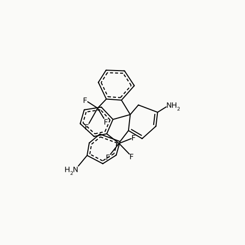 NC1=CC=C(c2ccc(N)cc2)C(c2ccccc2C(F)(F)F)(c2ccccc2C(F)(F)F)C1